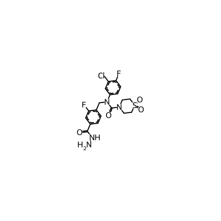 NNC(=O)c1ccc(CN(C(=O)N2CCS(=O)(=O)CC2)c2ccc(F)c(Cl)c2)c(F)c1